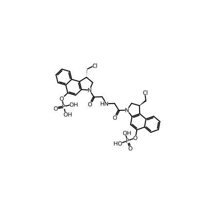 O=C(CNCC(=O)N1C[C@@H](CCl)c2c1cc(OP(=O)(O)O)c1ccccc21)N1C[C@@H](CCl)c2c1cc(OP(=O)(O)O)c1ccccc21